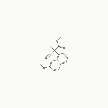 COC(=O)C(C)(C#N)c1cccc2ccc(OC)cc12